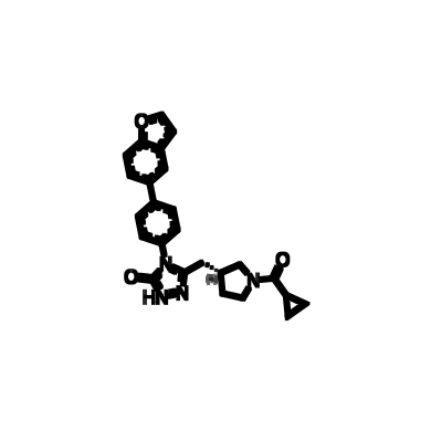 O=C(C1CC1)N1CC[C@H](Cc2n[nH]c(=O)n2-c2ccc(-c3ccc4occc4c3)cc2)C1